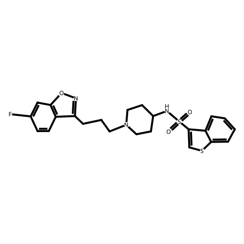 O=S(=O)(NC1CCN(CCCc2noc3cc(F)ccc23)CC1)c1csc2ccccc12